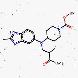 COC(=O)C(C)CN(c1ccc2[nH]c(C)nc2c1)C1CCN(C(=O)OC(C)(C)C)CC1